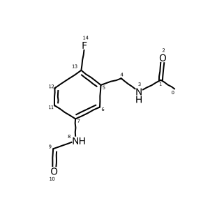 CC(=O)NCc1cc(NC=O)ccc1F